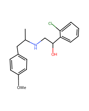 COc1ccc(CC(C)NCC(O)c2ccccc2Cl)cc1